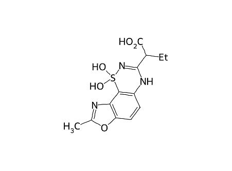 CCC(C(=O)O)C1=NS(O)(O)c2c(ccc3oc(C)nc23)N1